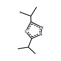 CC(C)c1nnc(C(C)I)s1